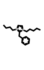 CCCCCn1cc[n+](CCCC)c1Cc1ccccc1